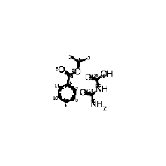 CC(C)OC(=O)c1ccccc1.NC(=O)NC(=O)O